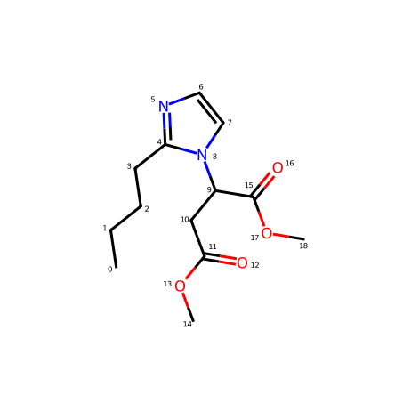 CCCCc1nccn1C(CC(=O)OC)C(=O)OC